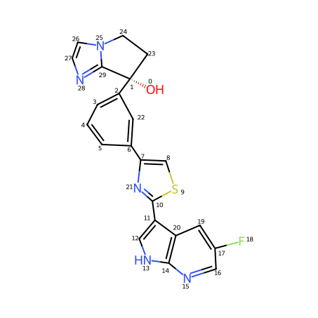 O[C@@]1(c2cccc(-c3csc(-c4c[nH]c5ncc(F)cc45)n3)c2)CCn2ccnc21